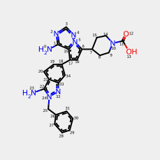 Nc1ncnn2c(C3CCN(C(=O)O)CC3)cc(-c3ccc4c(N)n(Cc5ccccc5)nc4c3)c12